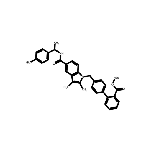 Cc1c(C)n(Cc2ccc(-c3ccccc3C(=O)OC(C)(C)C)cc2)c2ccc(C(=O)NC(C)c3ccc(C(C)(C)C)cc3)cc12